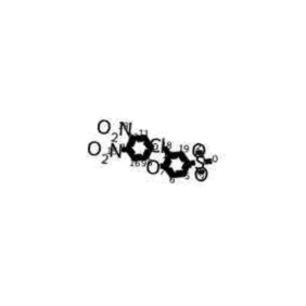 CS(=O)(=O)c1ccc(Oc2ccc([N+](=O)[O-])c([N+](=O)[O-])c2)c(Cl)c1